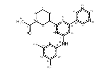 CC(=O)N1CCCC(c2nc(Nc3cc(F)cc(F)c3)cc(-c3cncnc3)n2)C1